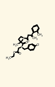 C=C(CC(=O)N1CCC1(C)C(=O)N(CC(=O)OCC)Cc1ccc(Cl)cc1)c1ccccc1C